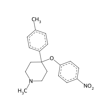 Cc1ccc(C2(Oc3ccc([N+](=O)[O-])cc3)CCN(C)CC2)cc1